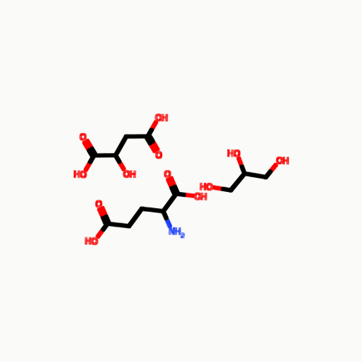 NC(CCC(=O)O)C(=O)O.O=C(O)CC(O)C(=O)O.OCC(O)CO